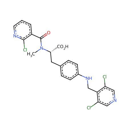 CN(C(=O)c1cccnc1Cl)[C@@H](Cc1ccc(NCc2c(Cl)cncc2Cl)cc1)C(=O)O